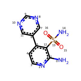 Nc1nccc(-c2cncnc2)c1S(N)(=O)=O